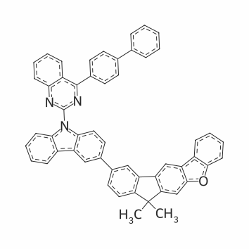 CC1(C)c2ccc(-c3ccc4c(c3)c3ccccc3n4-c3nc(-c4ccc(-c5ccccc5)cc4)c4ccccc4n3)cc2-c2cc3c(cc21)oc1ccccc13